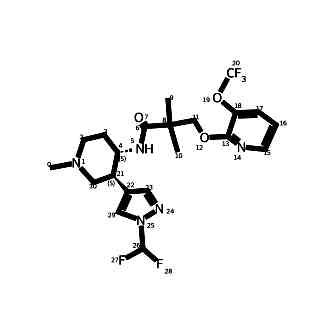 CN1CC[C@H](NC(=O)C(C)(C)COc2ncccc2OC(F)(F)F)[C@@H](c2cnn(C(F)F)c2)C1